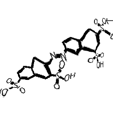 O=S(=O)(O)c1ccc2cc(N=Nc3ccc4cc(S(=O)(=O)O)cc(S(=O)(=O)O)c4c3)c(S(=O)(=O)O)cc2c1